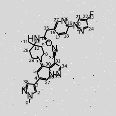 Cn1cc(-c2cc(N3CCC(C)(NC(=O)Cc4ccc(-n5cc(F)cn5)nc4)CC3)c3c(C#N)cnn3c2)cn1